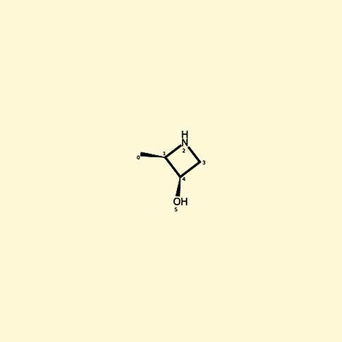 C[C@H]1NC[C@H]1O